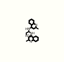 CCCCCCCCCCCC(Nc1cc(C)nc2ccccc12)Nc1cc(C)nc2ccccc12